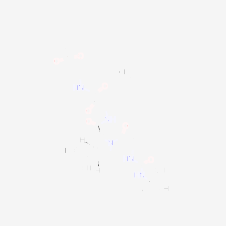 C=CCCC(NC(=O)[C@@H]1[C@@H]2[C@H](CN1C(=O)[C@@H](NC(=O)NC(C)(C)C)C1CCCCC1)C2(C)C)C(=O)C(=O)NCCS(=O)(=O)C1CCCC1